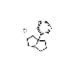 Cl.c1ncc(C23CCCN2CCC3)cn1